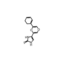 S=c1[nH]cc(C2=COC=C(C3=CC=CCC3)O2)[nH]1